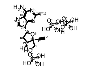 C#C[C@]1(CO)O[C@@H](n2cnc3c(N)nc(F)nc32)C[C@@H]1O.O=P(O)(O)O.O=P(O)(O)O.O=P(O)(O)O